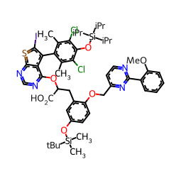 COc1ccccc1-c1nccc(COc2ccc(O[Si](C)(C)C(C)(C)C)cc2CC(Oc2ncnc3sc(I)c(-c4c(C)c(Cl)c(O[Si](C(C)C)(C(C)C)C(C)C)c(Cl)c4C)c23)C(=O)O)n1